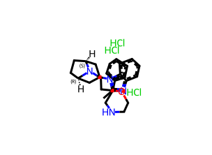 Cc1nc2ccccc2n1C1C[C@H]2CC[C@@H](C1)N2CCC1(c2ccccc2)CNCCO1.Cl.Cl.Cl